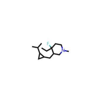 CCC1(F)CCN(C)CC1CC1CC1C(C)C